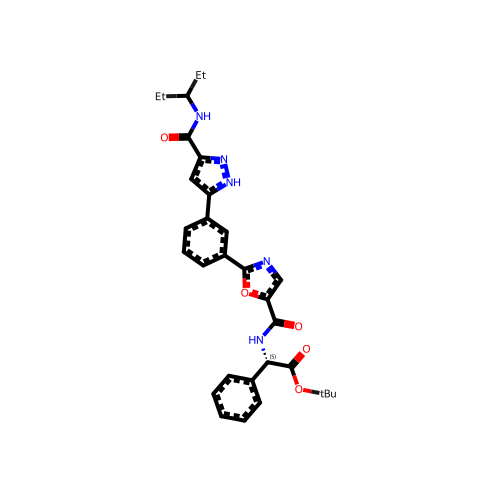 CCC(CC)NC(=O)c1cc(-c2cccc(-c3ncc(C(=O)N[C@H](C(=O)OC(C)(C)C)c4ccccc4)o3)c2)[nH]n1